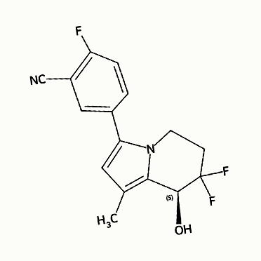 Cc1cc(-c2ccc(F)c(C#N)c2)n2c1[C@H](O)C(F)(F)CC2